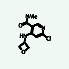 CNC(=O)c1cnc(Cl)cc1NC1COC1